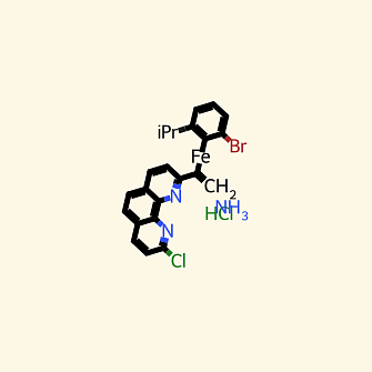 C=[C]([Fe][c]1c(Br)cccc1C(C)C)c1ccc2ccc3ccc(Cl)nc3c2n1.Cl.N